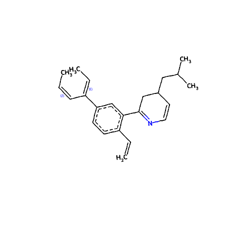 C=Cc1ccc(C(/C=C\C)=C/C)cc1C1=NC=CC(CC(C)C)C1